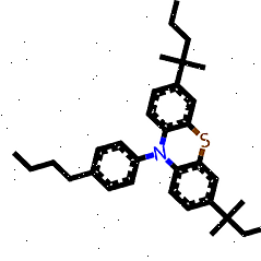 CCCCc1ccc(N2c3ccc(C(C)(C)CC)cc3Sc3cc(C(C)(C)CCC)ccc32)cc1